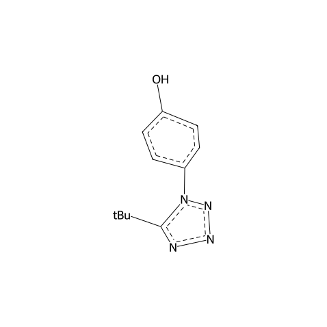 CC(C)(C)c1nnnn1-c1ccc(O)cc1